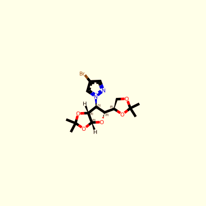 CC1(C)O[C@H]2O[C@@H]([C@H]3COC(C)(C)O3)[C@H](n3cc(Br)cn3)[C@H]2O1